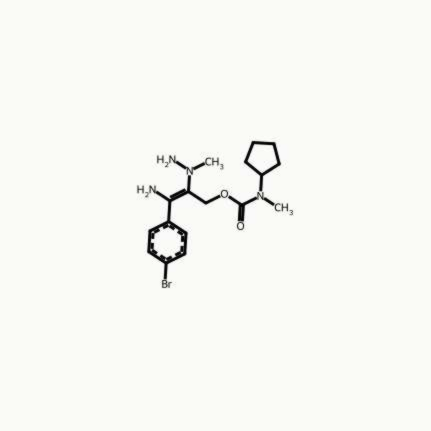 CN(N)/C(COC(=O)N(C)C1CCCC1)=C(\N)c1ccc(Br)cc1